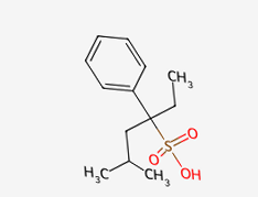 CCC(CC(C)C)(c1ccccc1)S(=O)(=O)O